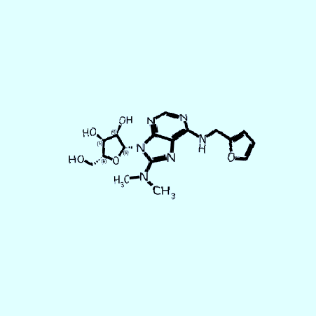 CN(C)c1nc2c(NCc3ccco3)ncnc2n1[C@@H]1O[C@H](CO)[C@@H](O)[C@H]1O